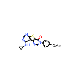 COc1ccc(-n2cnc3c(sc4ncnc(NC5CC5)c43)c2=O)cc1